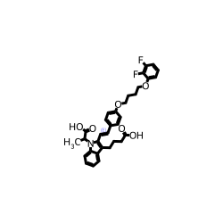 CC(C(=O)O)n1c(/C=C/c2ccc(OCCCCOc3cccc(F)c3F)cc2)c(CCCC(=O)O)c2ccccc21